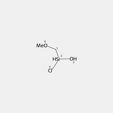 COC[SiH](O)Cl